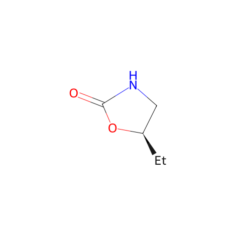 CC[C@@H]1CNC(=O)O1